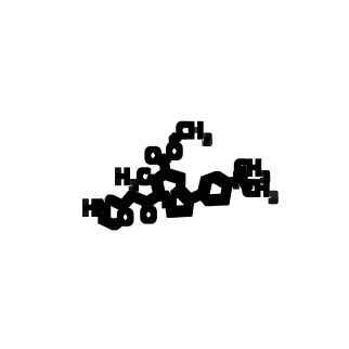 CCOC(=O)c1cc2c(-c3ccc(N(C)C)cc3)ccn2c(C(=O)CC2CNCCO2)c1C